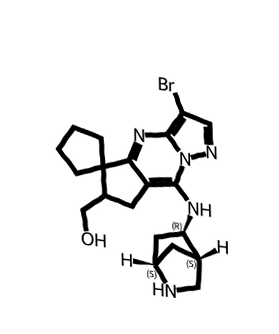 OCC1Cc2c(nc3c(Br)cnn3c2N[C@@H]2C[C@@H]3C[C@H]2CN3)C12CCCC2